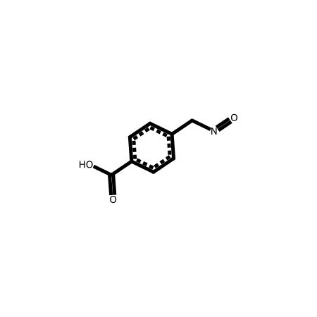 O=NCc1ccc(C(=O)O)cc1